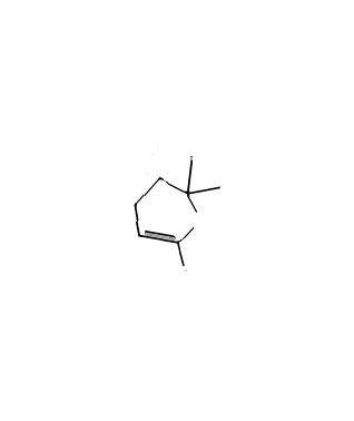 CC(=O)C1=CC[C@H](O)C(C)(C)O1